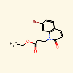 CCOC(=O)CCn1c(=O)ccc2ccc(Br)cc21